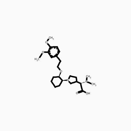 COc1ccc(CCO[C@@H]2CCCC[C@@H]2N2CCC([C@@H](C(=O)O)N(C)C)C2)cc1OC